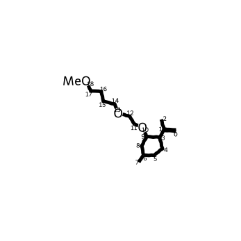 C=C(C)C1CCC(C)CC1OCCOCCCCOC